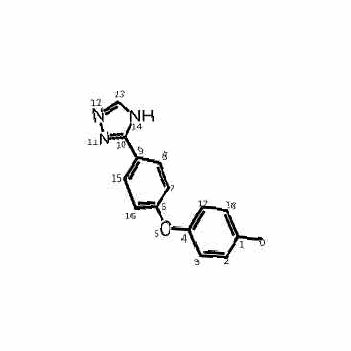 Cc1ccc(Oc2ccc(-c3nnc[nH]3)cc2)cc1